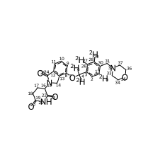 [2H]c1cc(C([2H])([2H])Oc2cccc3c2CN(C2CCC(=O)NC2=O)C3=O)c([2H])c([2H])c1CN1CCOCC1